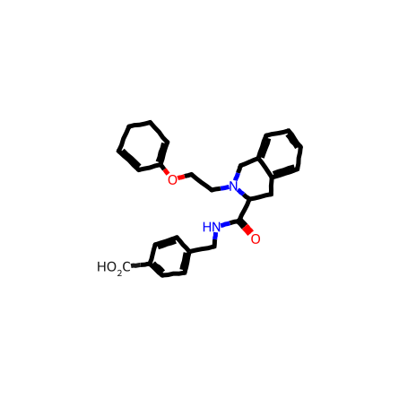 O=C(O)c1ccc(CNC(=O)C2Cc3ccccc3CN2CCOC2=CCCC=C2)cc1